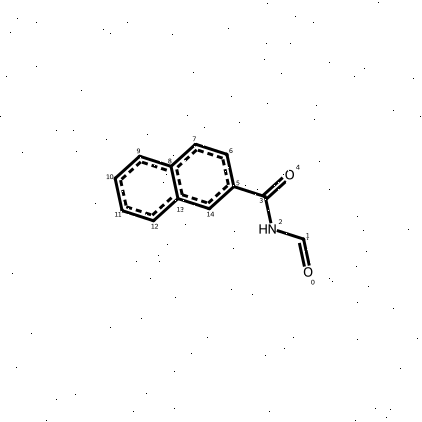 O=[C]NC(=O)c1ccc2ccccc2c1